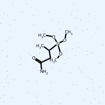 CO[Si](OC)(OC)C(C)CC(N)=O